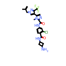 C=C(C)Cn1cc(-c2cnc(C(=O)Nc3ccc(C(=O)NC4CC(N)C4)c(Cl)c3)n2C)c(C(F)(F)F)n1